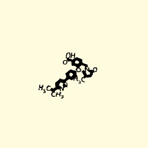 CC1CC(=O)N(Cc2ccc(C(=O)O)cc2Oc2ccc(-c3ccc(C(C)C)nn3)cc2)C1